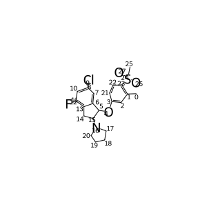 Cc1cc(OC2c3cc(Cl)cc(F)c3CC2N2CCCC2)ccc1S(C)(=O)=O